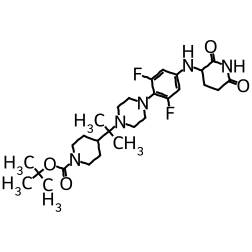 CC(C)(C)OC(=O)N1CCC(C(C)(C)N2CCN(c3c(F)cc(NC4CCC(=O)NC4=O)cc3F)CC2)CC1